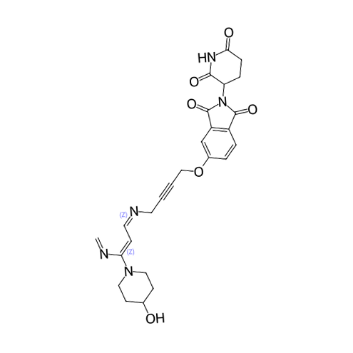 C=N/C(=C\C=N/CC#CCOc1ccc2c(c1)C(=O)N(C1CCC(=O)NC1=O)C2=O)N1CCC(O)CC1